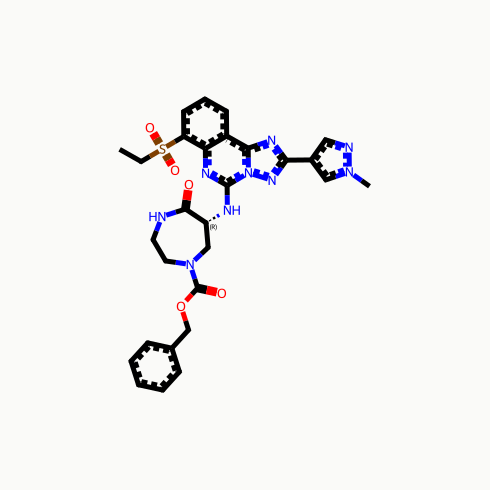 CCS(=O)(=O)c1cccc2c1nc(N[C@@H]1CN(C(=O)OCc3ccccc3)CCNC1=O)n1nc(-c3cnn(C)c3)nc21